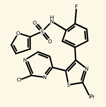 CC(C)c1nc(-c2ccc(F)c(NS(=O)(=O)c3ccco3)c2)c(-c2ccnc(Cl)n2)s1